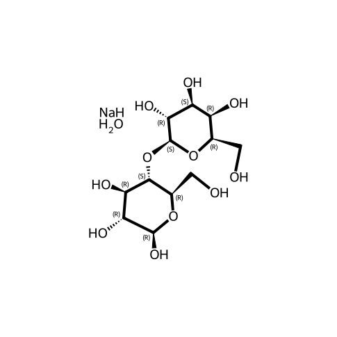 O.OC[C@H]1O[C@@H](O[C@H]2[C@H](O)[C@@H](O)[C@H](O)O[C@@H]2CO)[C@H](O)[C@@H](O)[C@H]1O.[NaH]